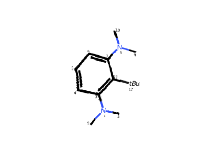 CN(C)c1cccc(N(C)C)c1C(C)(C)C